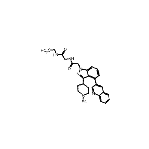 CC(=O)N1CCC(c2nn(CC(=O)NCC(=O)NCC(=O)O)c3cccc(-c4cnc5ccccc5c4)c23)CC1